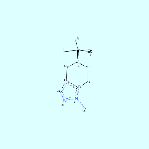 CCC(C)(C)[C@H]1CCc2c(cnn2C)C1